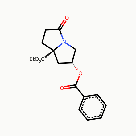 CCOC(=O)[C@@]12CCC(=O)N1C[C@H](OC(=O)c1ccccc1)C2